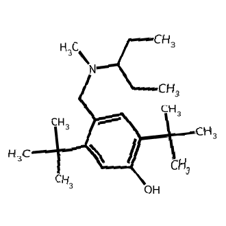 CCC(CC)N(C)Cc1cc(C(C)(C)C)c(O)cc1C(C)(C)C